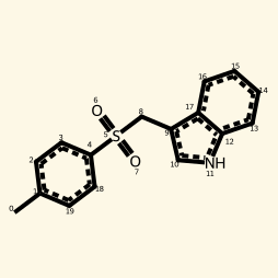 Cc1ccc(S(=O)(=O)Cc2c[nH]c3ccccc23)cc1